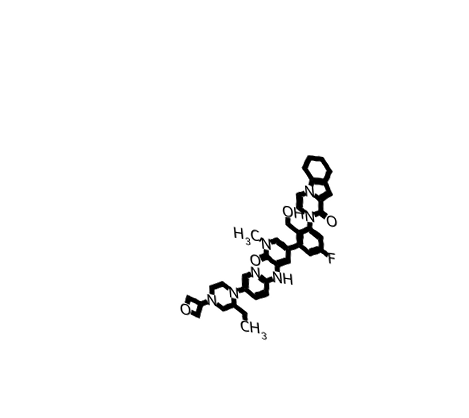 CCC1CN(C2COC2)CCN1c1ccc(Nc2cc(-c3cc(F)cc(-n4ccn5c6c(cc5c4=O)CCCC6)c3CO)cn(C)c2=O)nc1